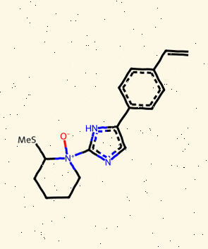 C=Cc1ccc(-c2cnc([N+]3([O-])CCCCC3SC)[nH]2)cc1